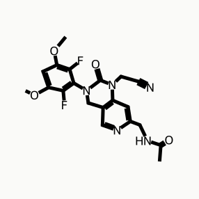 COc1cc(OC)c(F)c(N2Cc3cnc(CNC(C)=O)cc3N(CC#N)C2=O)c1F